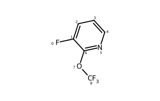 Fc1cccnc1OC(F)(F)F